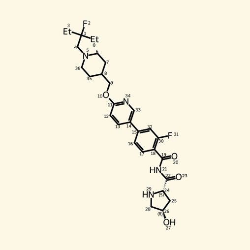 CCC(F)(CC)CN1CCC(COc2ccc(-c3ccc(C(=O)NC(=O)[C@@H]4C[C@@H](O)CN4)c(F)c3)cn2)CC1